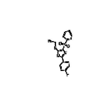 CC(C)CSc1oc(-c2ccc(F)cc2)nc1S(=O)(=O)c1ccccc1